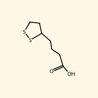 O=C(O)CCCC1CCSS1